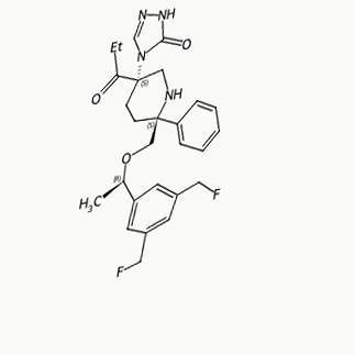 CCC(=O)[C@]1(n2cn[nH]c2=O)CC[C@@](CO[C@H](C)c2cc(CF)cc(CF)c2)(c2ccccc2)NC1